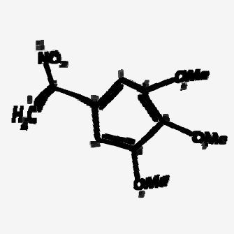 C=C(c1cc(OC)c(OC)c(OC)c1)[N+](=O)[O-]